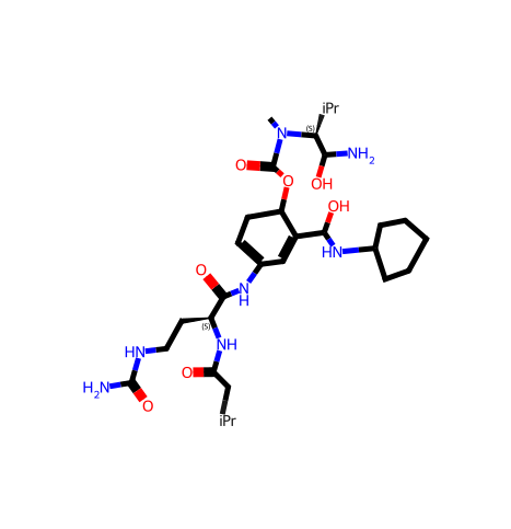 CC(C)CC(=O)N[C@@H](CCNC(N)=O)C(=O)NC1=CCC(OC(=O)N(C)[C@@H](C(C)C)C(N)O)C(C(O)NC2CCCCC2)=C1